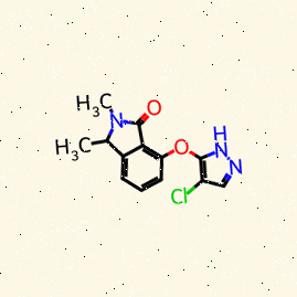 CC1c2cccc(Oc3[nH]ncc3Cl)c2C(=O)N1C